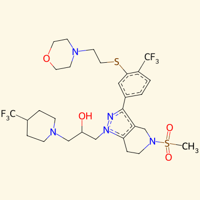 CS(=O)(=O)N1CCc2c(c(-c3ccc(C(F)(F)F)c(SCCN4CCOCC4)c3)nn2CC(O)CN2CCC(C(F)(F)F)CC2)C1